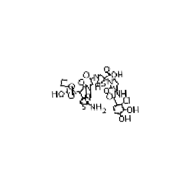 Nc1nc(/C(=N/OC2(C(=O)O)CCC2)C(=O)NC2C(=O)N3CC(C(=O)O)(N4CCN(NC(=O)c5ccc(O)c(O)c5Cl)C4=O)S[C@H]23)cs1